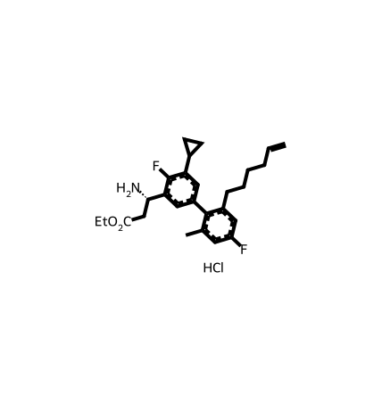 C=CCCCCc1cc(F)cc(C)c1-c1cc(C2CC2)c(F)c([C@@H](N)CC(=O)OCC)c1.Cl